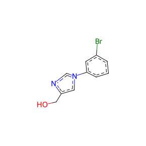 OCc1cn(-c2cccc(Br)c2)cn1